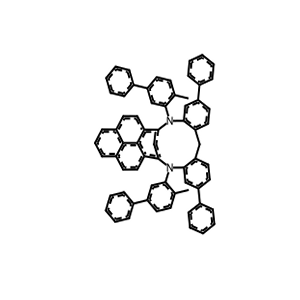 Cc1ccc(-c2ccccc2)cc1N1c2cc(-c3ccccc3)ccc2Cc2ccc(-c3ccccc3)cc2N(c2cc(-c3ccccc3)ccc2C)c2cc1c1ccc3cccc4ccc2c1c34